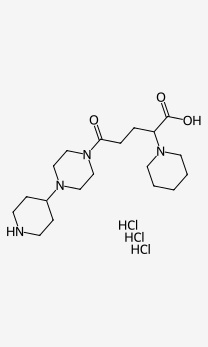 Cl.Cl.Cl.O=C(O)C(CCC(=O)N1CCN(C2CCNCC2)CC1)N1CCCCC1